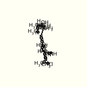 Cc1ncsc1-c1ccc([C@H](C)NC(=O)[C@@H]2C[C@@H](O)CN2C(=O)[C@@H](NCCCCCCCN2CCC(N3CCC(CNc4ccc(S(=O)(=O)NC(=O)c5ccc(N6CCN(CC7=C(c8ccc(Cl)cc8)CC(C)(C)CC7)CC6)cc5Oc5cnc6[nH]ccc6c5)cc4[N+](=O)[O-])CC3)CC2)C(C)(C)C)cc1